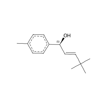 Cc1ccc([C@@H](O)C=CC(C)(C)C)cc1